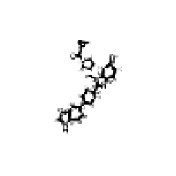 O=C(C1CC1)N1CC[C@H](Cn2c(-c3ccc(-c4ccc5[nH]ccc5c4)cc3)nc3ccc(Br)cc32)C1